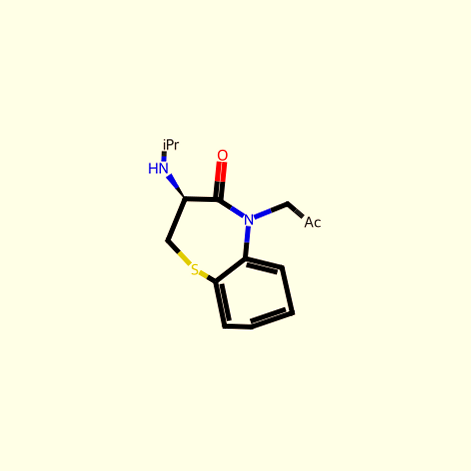 CC(=O)CN1C(=O)[C@H](NC(C)C)CSc2ccccc21